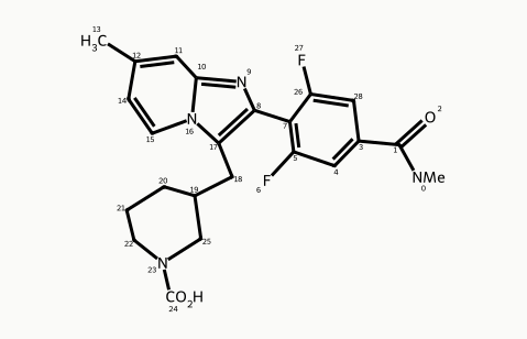 CNC(=O)c1cc(F)c(-c2nc3cc(C)ccn3c2CC2CCCN(C(=O)O)C2)c(F)c1